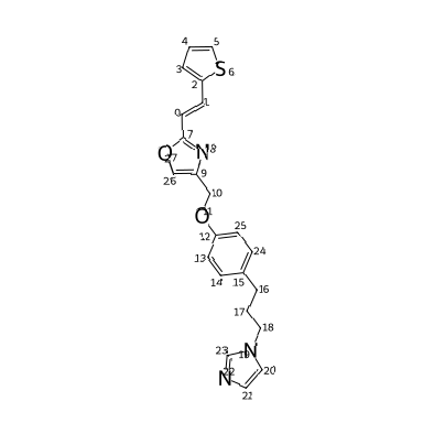 C(=Cc1cccs1)c1nc(COc2ccc(CCCn3ccnc3)cc2)co1